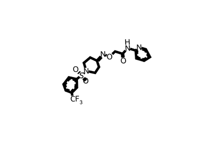 O=C(CON=C1CCN(S(=O)(=O)c2cccc(C(F)(F)F)c2)CC1)Nc1ccccn1